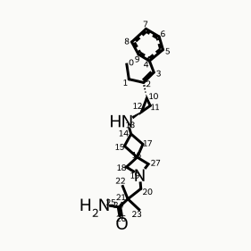 CC/C(=C\c1ccccc1)[C@@H]1C[C@H]1NC1CC2(C1)CN(CC(C)(C)C(N)=O)C2